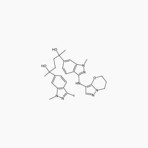 Cn1nc(I)c2ccc(C(C)(O)CCC(C)(O)c3ccc4c(Nc5cnn6c5OCCC6)nn(C)c4c3)cc21